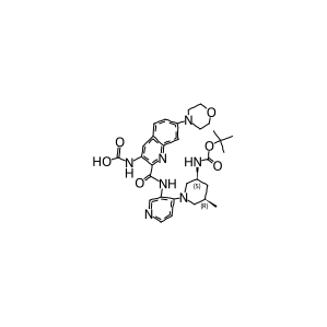 C[C@@H]1C[C@H](NC(=O)OC(C)(C)C)CN(c2ccncc2NC(=O)c2nc3cc(N4CCOCC4)ccc3cc2NC(=O)O)C1